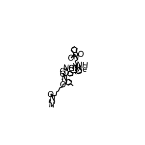 COc1c(-c2cccc3[nH]c(CCN4C(=O)c5ccccc5C4=O)nc23)ccc(C(=O)N(C)c2ccc(C)cc2OCCCCCC(=O)N2CCN(C)CC2)c1C(N)=O